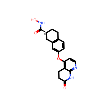 O=C1CCc2c(Oc3ccc4c(c3)C[C@@H](C(=O)NO)CC4)ccnc2N1